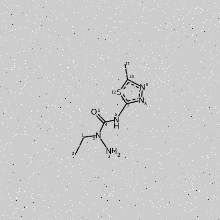 CCN(N)C(=O)Nc1nnc(C)s1